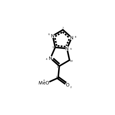 COC(=O)C1=Nc2ncnn2C1